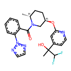 C[C@@H]1CC[C@@H](Oc2cc(C(C)(O)C(F)F)ccn2)CN1C(=O)c1ccccc1-n1nccn1